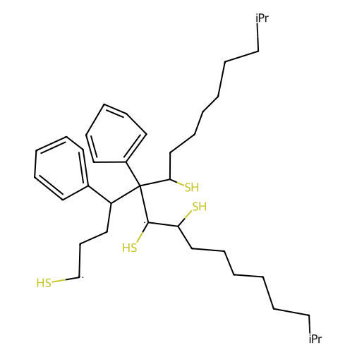 CC(C)CCCCCCC(S)[C](S)C(c1ccccc1)(C(S)CCCCCCC(C)C)C(CC[CH]S)c1ccccc1